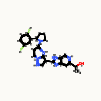 CC(O)c1cc2nc(-c3cnn4ccc(N5CCC[C@@H]5c5cc(F)ccc5F)nc34)[nH]c2cn1